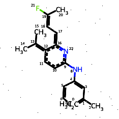 C=C(C)/C=C(\C=C/C)Nc1ccc(=C(C)C)/c(=C\C=C(/C)F)n1